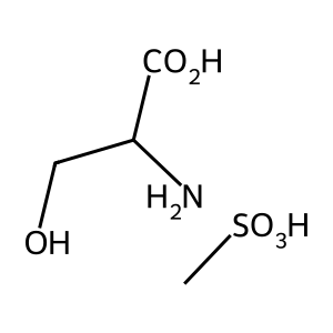 CS(=O)(=O)O.NC(CO)C(=O)O